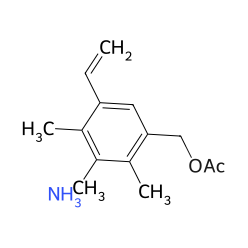 C=Cc1cc(COC(C)=O)c(C)c(C)c1C.N